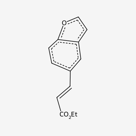 CCOC(=O)C=Cc1ccc2occc2c1